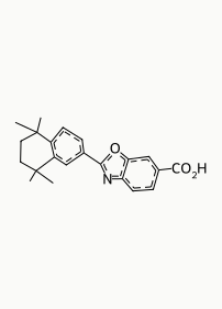 CC1(C)CCC(C)(C)c2cc(-c3nc4ccc(C(=O)O)cc4o3)ccc21